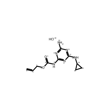 C=CCOC(=O)Nc1nc(N)nc(NC2CC2)n1.Cl